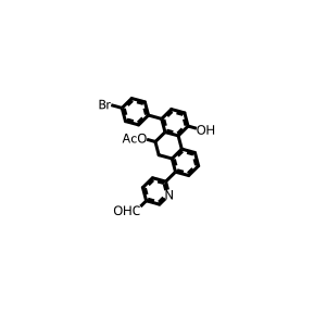 CC(=O)OC1Cc2c(-c3ccc(C=O)cn3)cccc2-c2c(O)ccc(-c3ccc(Br)cc3)c21